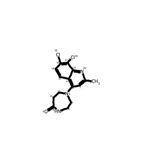 Cc1cc(N2CCNC(=O)CC2)c2ccc(Cl)c(Cl)c2n1